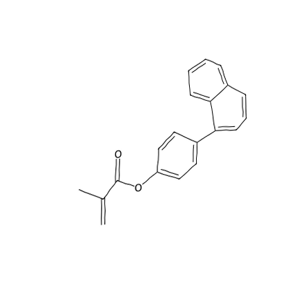 C=C(C)C(=O)Oc1ccc(-c2cccc3ccccc23)cc1